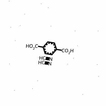 C#N.C#N.O=C(O)c1ccc(C(=O)O)cc1